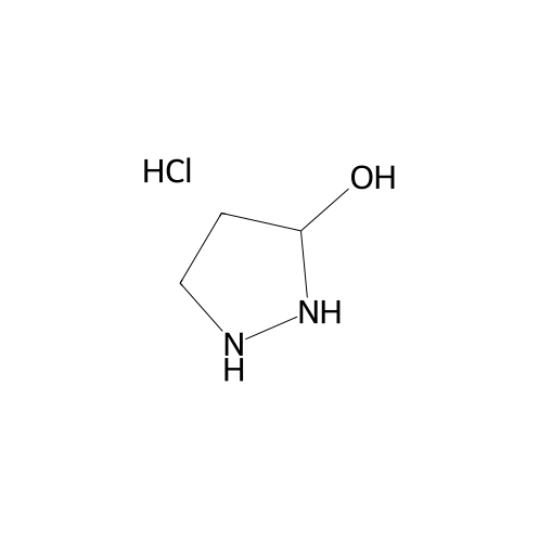 Cl.OC1CCNN1